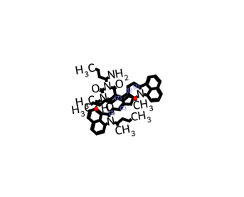 CCCCCCCCC(C)N1\C(=C/C=C2\CCC(=C\C=C3\C4=CC=CC5=CC=CC(C54)N3C(C)CCC)\C2=C2/C(=O)N(C(C)C)C(=O)N(C(N)CCC)C2=O)C2=CC=CC3=CC=CC1C32